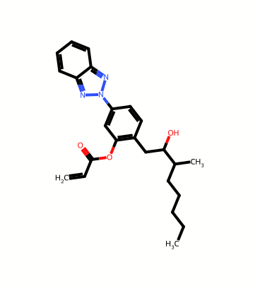 C=CC(=O)Oc1cc(-n2nc3ccccc3n2)ccc1CC(O)C(C)CCCCC